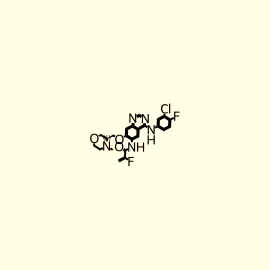 C=C(F)C(=O)Nc1cc2c(Nc3ccc(F)c(Cl)c3)ncnc2cc1OC[C@@H]1COCCN1C